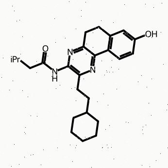 CC(C)CC(=O)Nc1nc2c(nc1CCC1CCCCC1)-c1ccc(O)cc1CC2